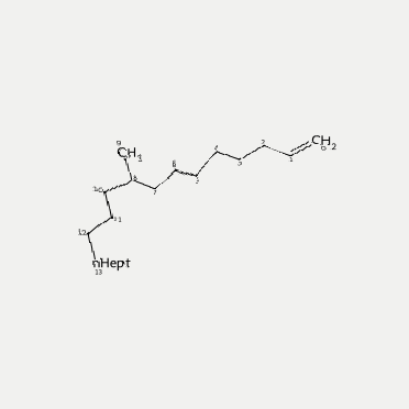 C=CCCCCCCC(C)CCCCCCCCCC